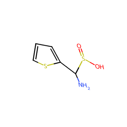 NC(c1cccs1)S(=O)O